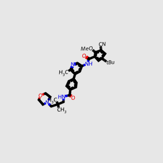 COc1c(C#N)cc(C(C)(C)C)cc1C(=O)Nc1cnc(C)c(-c2ccc(C(=O)NCC(C)(C)CN3CCOCC3)cc2)c1